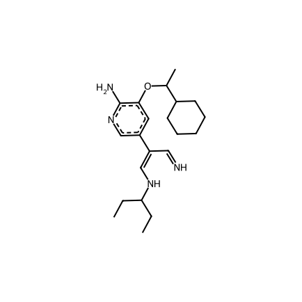 CCC(CC)N/C=C(\C=N)c1cnc(N)c(OC(C)C2CCCCC2)c1